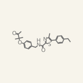 CCc1ccc(-c2sc(C(=O)NCc3ccc(OC(C)(C)C(C)=O)cc3)nc2C)cc1